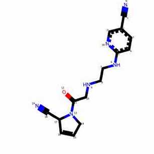 N#Cc1ccc(NCCNCC(=O)N2CC=CC2C#N)nc1